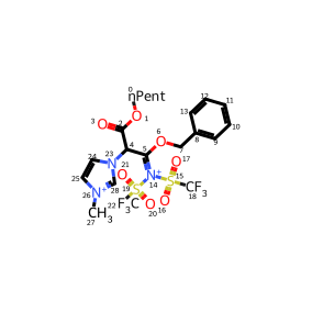 CCCCCOC(=O)C(C(OCc1ccccc1)=[N+](S(=O)(=O)C(F)(F)F)S(=O)(=O)C(F)(F)F)n1cc[n+](C)c1